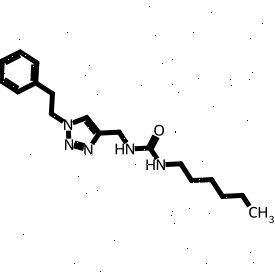 CCCCCCNC(=O)NCc1cn(CCc2ccccc2)nn1